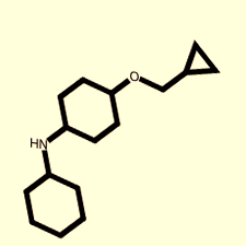 C1CCC(NC2CCC(OCC3CC3)CC2)CC1